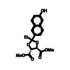 CCC1(c2ccc3cc(O)ccc3c2)O[C@@H](C(=O)OC)[C@H](C(=O)OC)O1